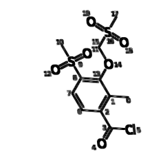 Cc1c(C(=O)Cl)ccc(S(C)(=O)=O)c1OCS(C)(=O)=O